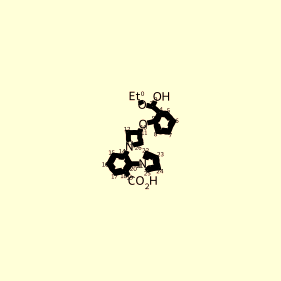 CCOC(O)c1ccccc1OC1CN(c2cccc(C(=O)O)c2-n2cccc2)C1